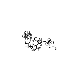 CS(=O)(=O)OCc1nc(C(F)(F)F)c(-c2nc(NC3CCN(S(C)(=O)=O)CC3)ncc2F)s1